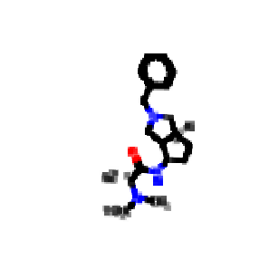 CC[C@H](C)[C@@H](C(=O)NC1CC[C@@H]2CN(Cc3ccccc3)CC12)N(C)C(=O)O